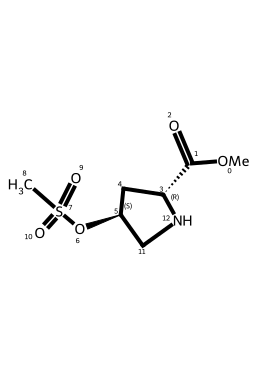 COC(=O)[C@H]1C[C@H](OS(C)(=O)=O)CN1